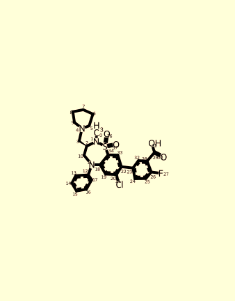 CN1[C@H](CN2CCCCC2)CN(c2ccccc2)c2cc(Cl)c(-c3ccc(F)c(C(=O)O)c3)cc2S1(=O)=O